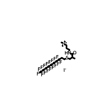 CC(CSCCC(F)(F)C(F)(F)C(F)(F)C(F)(F)C(F)(F)C(F)(F)C(F)(F)C(F)(F)F)C(=O)NCCC[N+](C)(C)C.[I-]